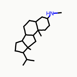 CNC1CCC2(C)C(CCC3C2CC2(C)C(C(C)C)CCC32)C1